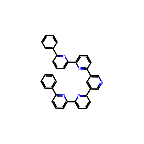 c1ccc(-c2cccc(-c3cccc(-c4cncc(-c5cccc(-c6cccc(-c7ccccc7)n6)n5)c4)n3)n2)cc1